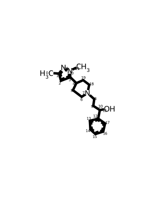 Cc1cc(C2CCN(CCC(O)c3ccccc3)CC2)n(C)n1